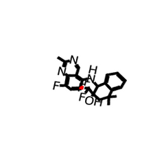 Cc1ncc2c(NC3c4ccccc4C(C)(C)CC3(O)C(F)(F)F)ccc(F)c2n1